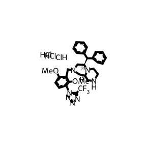 COc1ccc(-n2nnnc2C(F)(F)F)c(OC)c1CN1C[C@@H]2CNCCN2[C@H](C(c2ccccc2)c2ccccc2)C1.Cl.Cl.Cl